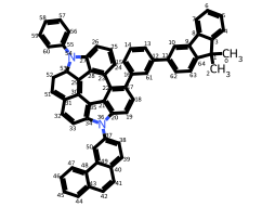 CC1(C)c2ccccc2-c2cc(-c3cccc(-c4ccc5c6c4-c4cccc7c4C4=c8c(ccc(c86)n5-c5ccc6ccc8ccccc8c6c5)=CCC4N7c4ccccc4)c3)ccc21